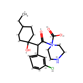 CCC1CCC(O)(C(C(=O)[N+]2(C(=O)[O-])CCNCC2)c2cccc(Cl)c2)CC1